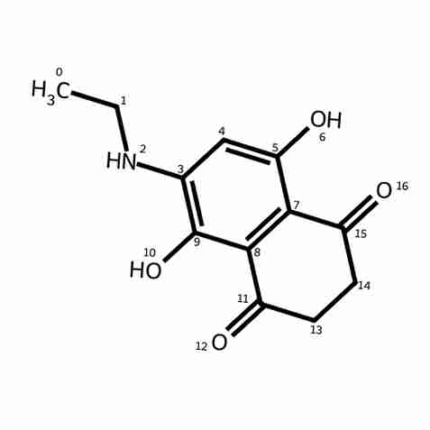 CCNc1cc(O)c2c(c1O)C(=O)CCC2=O